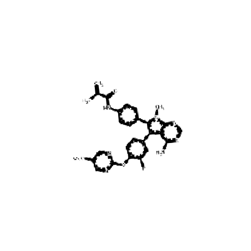 C=C(C)C(=O)Nc1ccc(-c2c(-c3ccc(Oc4ncc(OC)cn4)c(F)c3)c3c(N)ncnc3n2C)cc1